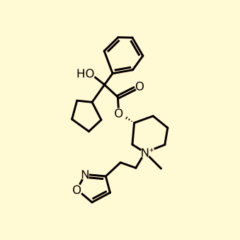 C[N+]1(CCc2ccon2)CCC[C@@H](OC(=O)C(O)(c2ccccc2)C2CCCC2)C1